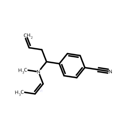 C=CCC(c1ccc(C#N)cc1)N(C)/C=C\C